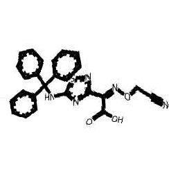 N#CCO/N=C(\C(=O)O)c1nsc(NC(c2ccccc2)(c2ccccc2)c2ccccc2)n1